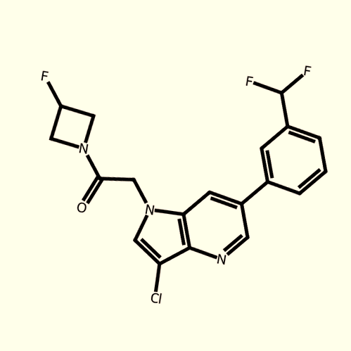 O=C(Cn1cc(Cl)c2ncc(-c3cccc(C(F)F)c3)cc21)N1CC(F)C1